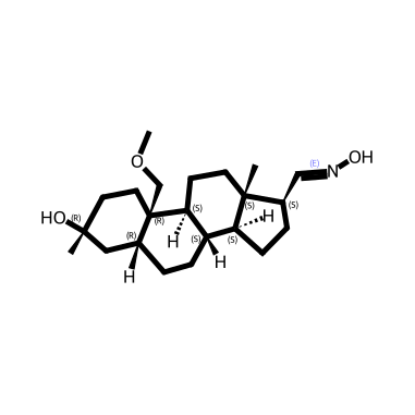 COC[C@]12CC[C@@](C)(O)C[C@H]1CC[C@H]1[C@@H]3CC[C@H](/C=N/O)[C@@]3(C)CC[C@@H]12